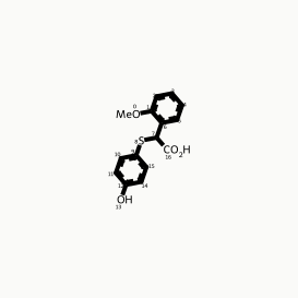 COc1ccccc1C(Sc1ccc(O)cc1)C(=O)O